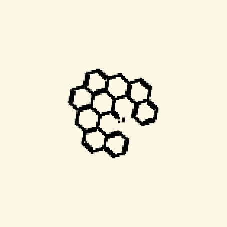 O=C1C2c3c(ccc4ccccc34)Cc3ccc4ccc5c(c4c32)C1c1c(ccc2ccccc12)C5